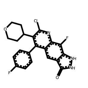 O=c1[nH][nH]c2c(F)c3nc(Cl)c(C4CCOCC4)c(-c4ccc(F)cc4)c3cc12